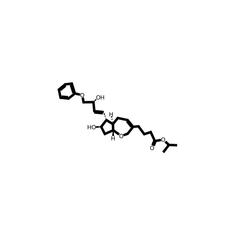 CC(C)OC(=O)CCCC1=CC[C@@H]2[C@@H](C=C[C@@H](O)COc3ccccc3)[C@H](O)C[C@H]2OC1